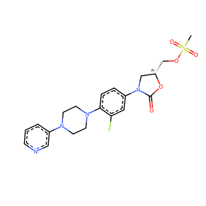 CS(=O)(=O)OC[C@H]1CN(c2ccc(N3CCN(c4cccnc4)CC3)c(F)c2)C(=O)O1